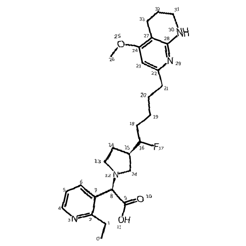 CCc1ncccc1[C@H](C(=O)O)N1CC[C@@H](C(F)CCCCc2cc(OC)c3c(n2)NCCC3)C1